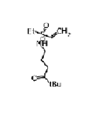 C=C[SH](=O)(CC)NCCCC(=O)C(C)(C)C